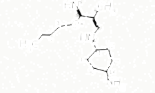 CCCCOC(=N)/C(C)=C\NC1CCC(N)CC1